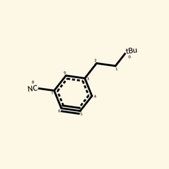 CC(C)(C)CCc1cc#cc(C#N)c1